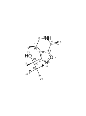 C[C@H]1CNC(=S)c2onc([C@@](C)(O)C(F)(F)F)c21